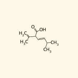 C=C(C)C(C=CC(C)C)C(=O)O